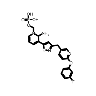 NC1C(c2cc(Cc3ccc(Oc4cccc(F)c4)nc3)no2)=CC=CN1COP(=O)(O)O